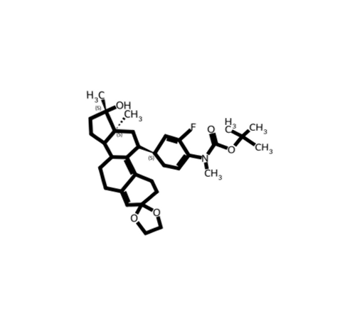 CN(C(=O)OC(C)(C)C)C1=CC[C@@H](C2C[C@@]3(C)C(CC[C@]3(C)O)C3CCC4=CC5(CCC4=C32)OCCO5)C=C1F